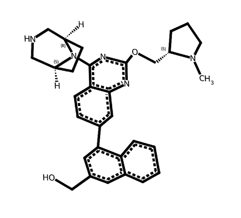 CN1CCC[C@H]1COc1nc(N2[C@@H]3CC[C@H]2CNC3)c2ccc(-c3cc(CO)cc4ccccc34)cc2n1